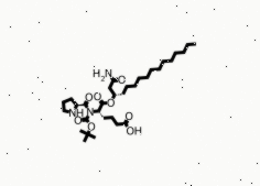 CCCCCCCCCCCCC[C@@H](CC(N)=O)OC(=O)[C@H](CCCC(=O)O)N(C(=O)OC(C)(C)C)C(=O)[C@@H]1CCCN1